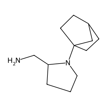 NCC1CCCN1C12CCC(CC1)C2